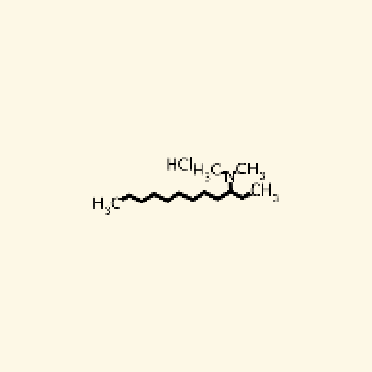 CCCCCCCCCC(CC)N(C)C.Cl